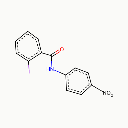 O=C(Nc1ccc([N+](=O)[O-])cc1)c1ccccc1I